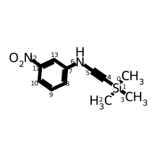 C[Si](C)(C)C#CNc1cccc([N+](=O)[O-])c1